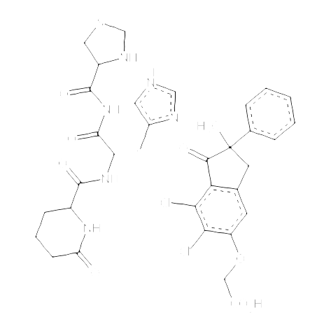 CC1(c2ccccc2)Cc2cc(OCC(=O)O)c(Cl)c(Cl)c2C1=O.O=C1CCCC(C(=O)N[C@@H](Cc2c[nH]cn2)C(=O)NC(=O)C2CSCN2)N1